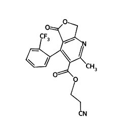 Cc1nc2c(c(-c3ccccc3C(F)(F)F)c1C(=O)OCCC#N)C(=O)OC2